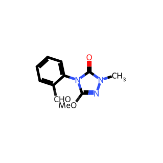 COc1nn(C)c(=O)n1-c1ccccc1C=O